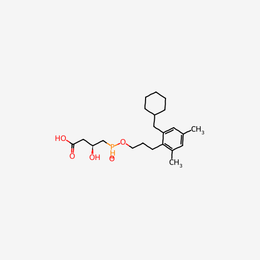 Cc1cc(C)c(CCCO[PH](=O)C[C@@H](O)CC(=O)O)c(CC2CCCCC2)c1